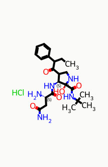 CCC(C(=O)C1CN[C@](O)(C(=O)NC(C)(C)C)[C@H]1NC(=O)[C@@H](N)CC(N)=O)c1ccccc1.Cl